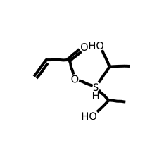 C=CC(=O)O[SH](C(C)O)C(C)O